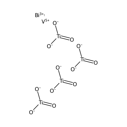 [Bi+3].[O]=[Ti]([O-])[O-].[O]=[Ti]([O-])[O-].[O]=[Ti]([O-])[O-].[O]=[Ti]([O-])[O-].[V+5]